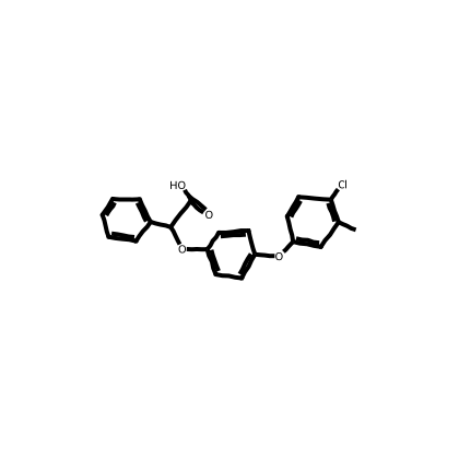 Cc1cc(Oc2ccc(OC(C(=O)O)c3ccccc3)cc2)ccc1Cl